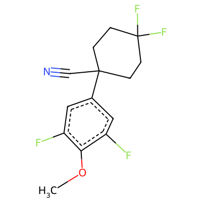 COc1c(F)cc(C2(C#N)CCC(F)(F)CC2)cc1F